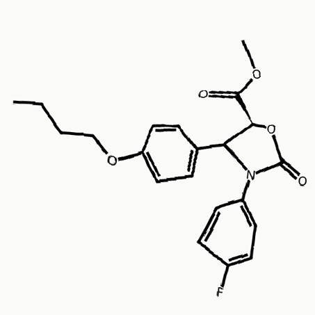 CCCCOc1ccc(C2[C@@H](C(=O)OC)OC(=O)N2c2ccc(F)cc2)cc1